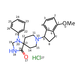 COc1cccc2c1CCC2N1CCC2(CC1)C(=O)NCN2c1ccccc1.Cl